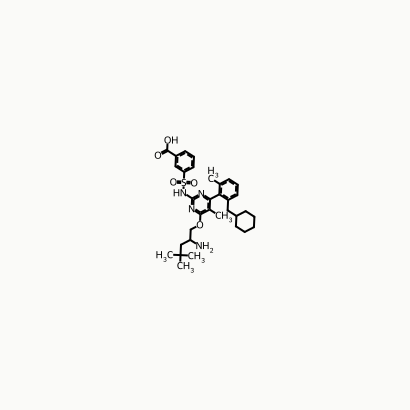 Cc1cccc(CC2CCCCC2)c1-c1nc(NS(=O)(=O)c2cccc(C(=O)O)c2)nc(OCC(N)CC(C)(C)C)c1C